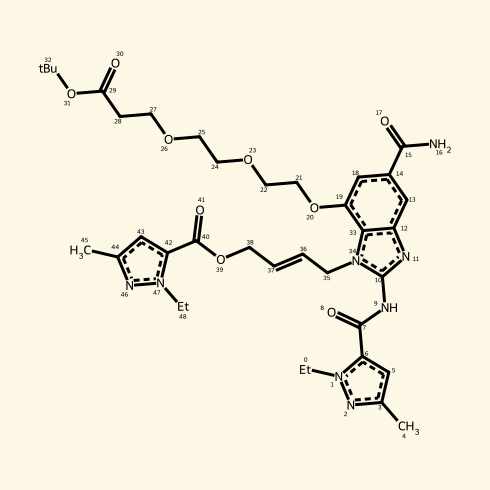 CCn1nc(C)cc1C(=O)Nc1nc2cc(C(N)=O)cc(OCCOCCOCCC(=O)OC(C)(C)C)c2n1C/C=C/COC(=O)c1cc(C)nn1CC